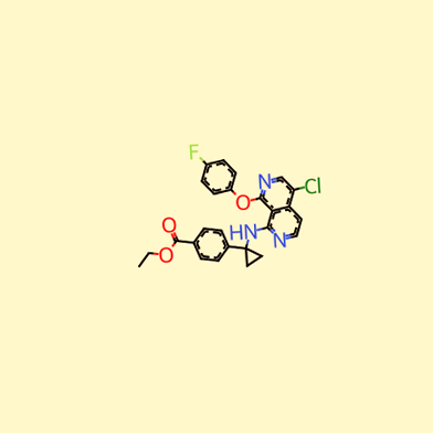 CCOC(=O)c1ccc(C2(Nc3nccc4c(Cl)cnc(Oc5ccc(F)cc5)c34)CC2)cc1